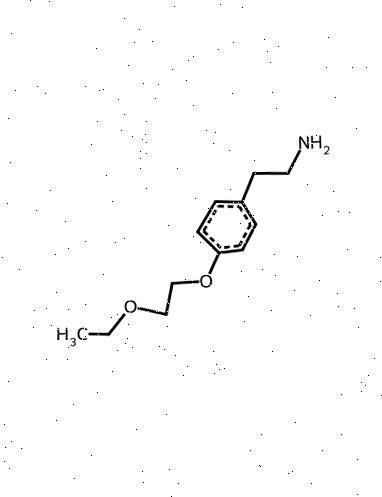 CCOCCOc1ccc(CCN)cc1